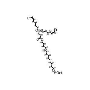 CC/C=C\CCCCOC(CCC(=O)OCCCCNCCCCCCCCCOCCCCCCCC)OCCCC/C=C\CC